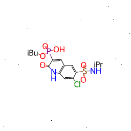 CCC(C)OP(=O)(O)c1cc2cc(S(=O)(=O)NC(C)C)c(Cl)cc2[nH]c1=O